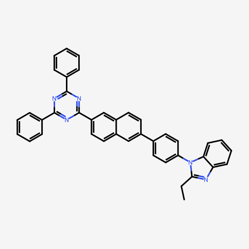 CCc1nc2ccccc2n1-c1ccc(-c2ccc3cc(-c4nc(-c5ccccc5)nc(-c5ccccc5)n4)ccc3c2)cc1